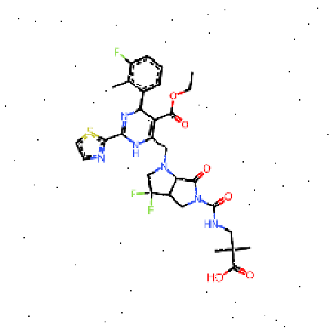 CCOC(=O)C1=C(CN2CC(F)(F)C3CN(C(=O)NCC(C)(C)C(=O)O)C(=O)C32)NC(c2nccs2)=NC1c1cccc(F)c1C